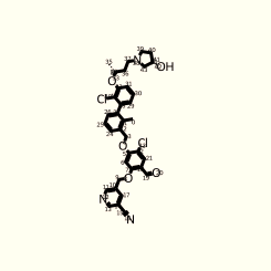 Cc1c(COc2cc(OCc3cncc(C#N)c3)c(C=O)cc2Cl)cccc1-c1cccc(O[C@H](C)CCN2CC[C@H](O)C2)c1Cl